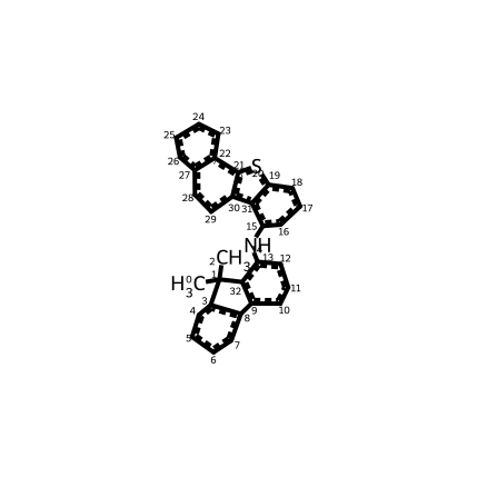 CC1(C)c2ccccc2-c2cccc(Nc3cccc4sc5c6ccccc6ccc5c34)c21